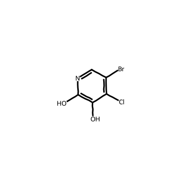 Oc1ncc(Br)c(Cl)c1O